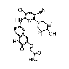 CNC(=O)COc1cc2cc(Nc3nc(N4C[C@@H](C)C(O)[C@@H](C)C4)c(C#N)cc3Cl)ccc2[nH]c1=O